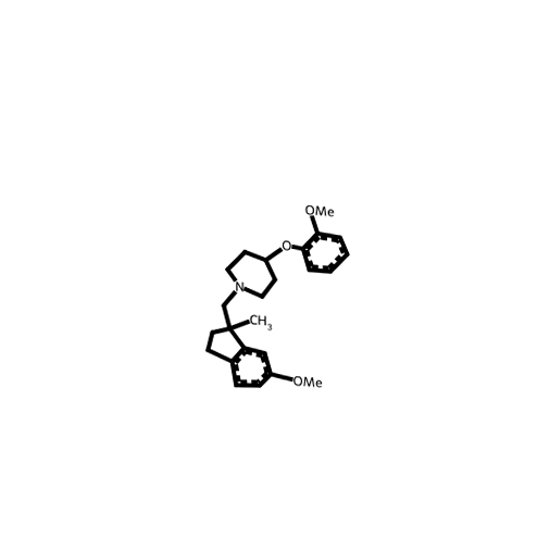 COc1ccc2c(c1)C(C)(CN1CCC(Oc3ccccc3OC)CC1)CC2